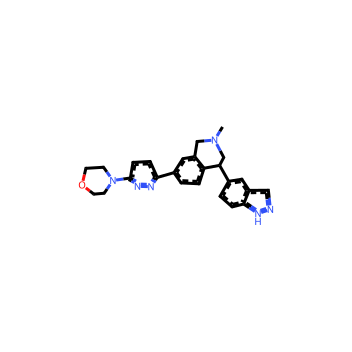 CN1Cc2cc(-c3ccc(N4CCOCC4)nn3)ccc2C(c2ccc3[nH]ncc3c2)C1